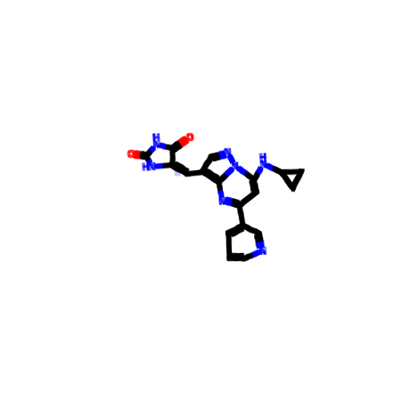 O=C1NC(=O)/C(=C\c2cnn3c(NC4CC4)cc(-c4cccnc4)nc23)N1